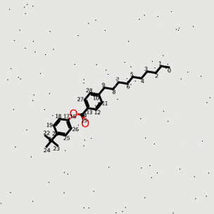 CCCCCCCCCCc1ccc(C(=O)Oc2ccc(C(C)(C)C)cc2)cc1